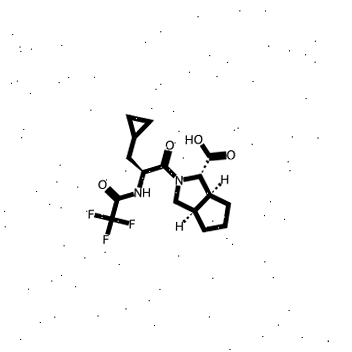 O=C(O)[C@@H]1[C@H]2CCC[C@H]2CN1C(=O)[C@H](CC1CC1)NC(=O)C(F)(F)F